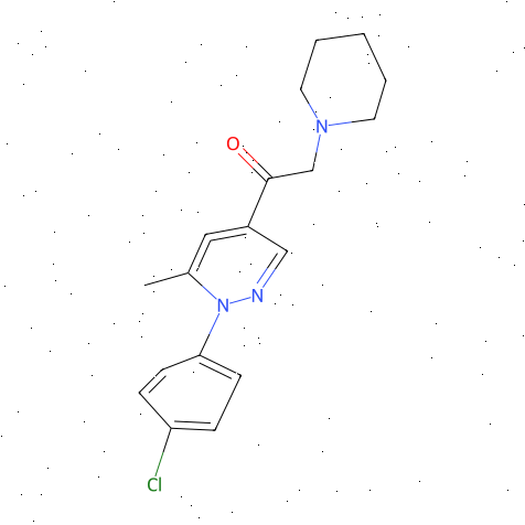 CC1=C=C(C(=O)CN2CCCCC2)C=NN1c1ccc(Cl)cc1